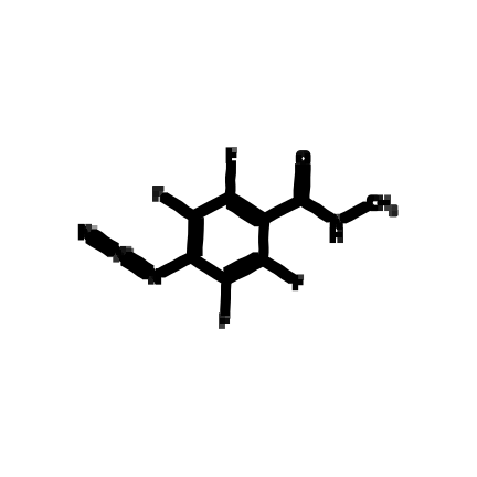 CNC(=O)c1c(F)c(F)c(N=[N+]=[N-])c(F)c1F